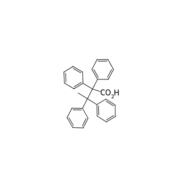 CC(c1ccccc1)(c1ccccc1)C(C(=O)O)(c1ccccc1)c1ccccc1